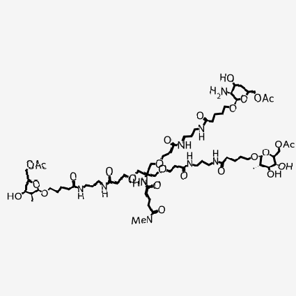 CNC(=O)CCCC(=O)NC(COCCC(=O)NCCCNC(=O)CCCCO[C@@H]1OC(COC(C)=O)CC(O)[C@@H]1C)(COCCC(=O)NCCCNC(=O)CCCCO[C@@H]1OC(COC(C)=O)[C@H](O)C(O)[C@@H]1C)COCCC(=O)NCCCNC(=O)CCCCO[C@@H]1OC(COC(C)=O)CC(O)[C@@H]1N